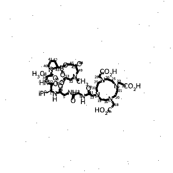 CC(C)[C@H](NC(=O)CNC(=O)CNC(=O)CN1CCN(CC(=O)O)CCN(CC(=O)O)CCN(CC(=O)O)CC1)C(=O)N[C@H](C)C(=O)N1CCCC1B1OCC(=O)CN(C)CC(=O)O1